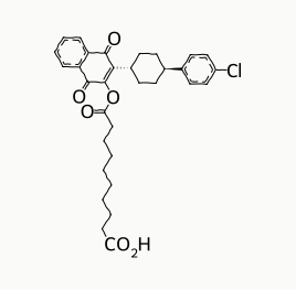 O=C(O)CCCCCCCCC(=O)OC1=C([C@H]2CC[C@H](c3ccc(Cl)cc3)CC2)C(=O)c2ccccc2C1=O